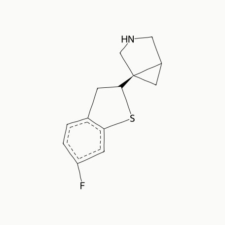 Fc1ccc2c(c1)SC([C@@]13CNCC1C3)C2